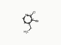 CCc1ccnc(Cl)c1Br